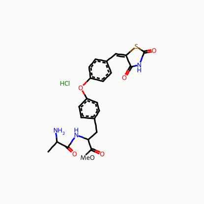 COC(=O)C(Cc1ccc(Oc2ccc(C=C3SC(=O)NC3=O)cc2)cc1)NC(=O)C(C)N.Cl